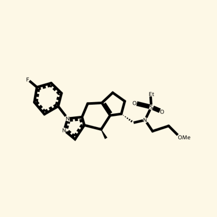 CCS(=O)(=O)N(CCOC)C[C@H]1CCC2=C1[C@@H](C)c1cnn(-c3ccc(F)cc3)c1C2